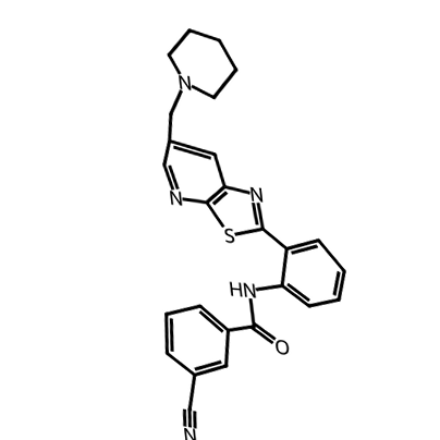 N#Cc1cccc(C(=O)Nc2ccccc2-c2nc3cc(CN4CCCCC4)cnc3s2)c1